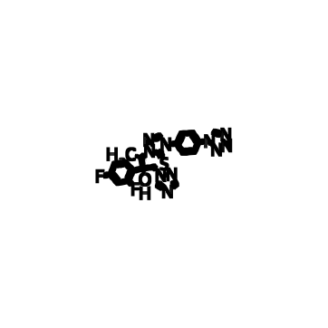 C[C@@H](n1ncn(-c2ccc(-n3cnnn3)cc2)c1=S)[C@](O)(Cn1cncn1)c1ccc(F)cc1F